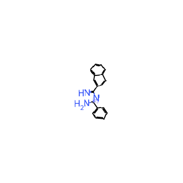 N=C(/N=C(\N)c1ccccc1)c1ccc2ccccc2c1